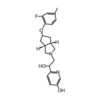 Cc1ccc(O[C@H]2C[C@@H]3CN(CC(O)c4ccc(O)cn4)C[C@@H]3C2)c(F)c1